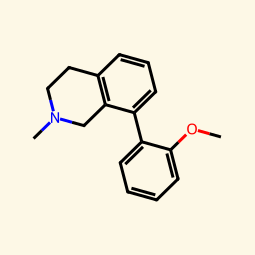 COc1ccccc1-c1cccc2c1CN(C)CC2